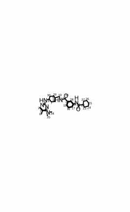 Cc1cnc(NC2CCC(CNC(=O)c3cccc(NC(=O)C4CCCCC4)c3)CC2)nc1N(C)C